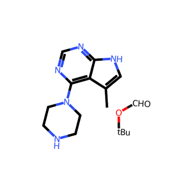 CC(C)(C)OC=O.Cc1c[nH]c2ncnc(N3CCNCC3)c12